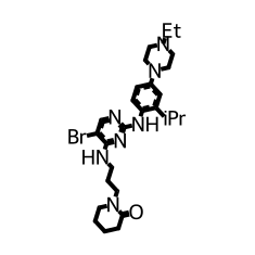 CCN1CCN(c2ccc(Nc3ncc(Br)c(NCCCN4CCCCC4=O)n3)c(C(C)C)c2)CC1